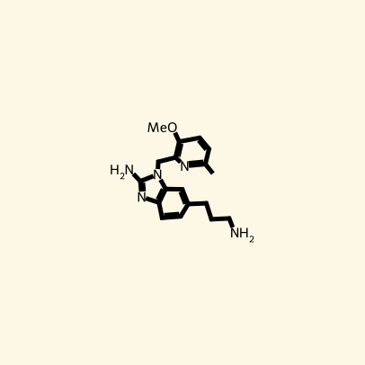 COc1ccc(C)nc1Cn1c(N)nc2ccc(CCCN)cc21